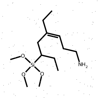 CCC(=CCCN)CC(CC)[Si](OC)(OC)OC